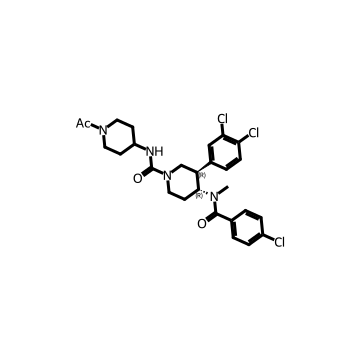 CC(=O)N1CCC(NC(=O)N2CC[C@@H](N(C)C(=O)c3ccc(Cl)cc3)[C@H](c3ccc(Cl)c(Cl)c3)C2)CC1